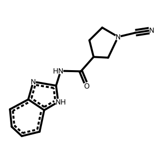 N#CN1CCC(C(=O)Nc2nc3ccccc3[nH]2)C1